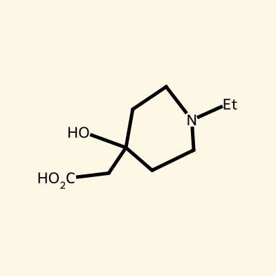 CCN1CCC(O)(CC(=O)O)CC1